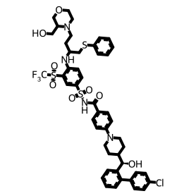 O=C(NS(=O)(=O)c1ccc(NC(CCN2CCOCC2CO)CSc2ccccc2)c(S(=O)(=O)C(F)(F)F)c1)c1ccc(N2CCC([C@@H](O)c3ccccc3-c3ccc(Cl)cc3)CC2)cc1